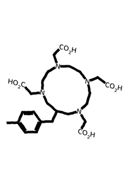 Cc1ccc(CC2CN(CC(=O)O)CCN(CC(=O)O)CCN(CC(=O)O)CCN(CC(=O)O)C2)cc1